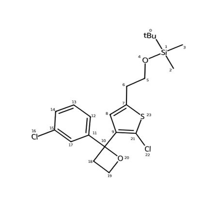 CC(C)(C)[Si](C)(C)OCCc1cc(C2(c3cccc(Cl)c3)CCO2)c(Cl)s1